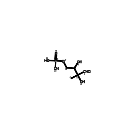 CC(O)(C=O)C(O)COP(=O)(O)O